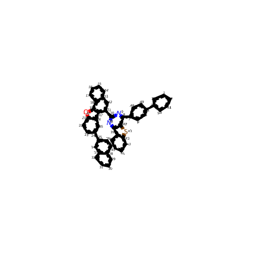 c1ccc(-c2ccc(-c3nc(-c4cc5ccccc5c5oc6ccc(-c7ccc8ccccc8c7)cc6c45)nc4c3sc3ccccc34)cc2)cc1